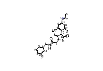 C=C1C(CC(=O)NCc2cccc(F)c2)CC(=O)C1c1c(C)cc(/C=C/C)cc1CC